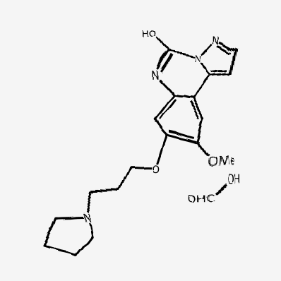 COc1cc2c(cc1OCCCN1CCCC1)nc(O)n1nccc21.O=CO